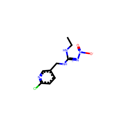 CCN/C(=N\[N+](=O)[O-])NCc1ccc(Cl)nc1